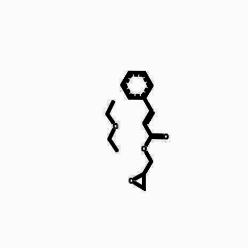 CCOCC.O=C(/C=C/c1ccccc1)OCC1CO1